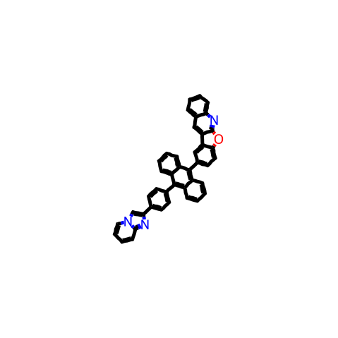 c1ccc2nc3oc4ccc(-c5c6ccccc6c(-c6ccc(-c7cn8ccccc8n7)cc6)c6ccccc56)cc4c3cc2c1